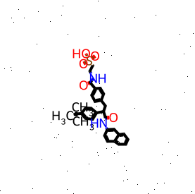 CC(C)(C)c1ccc(C(Cc2ccc(C(=O)NCCS(=O)(=O)O)cc2)C(=O)Nc2ccc3ccccc3c2)cc1